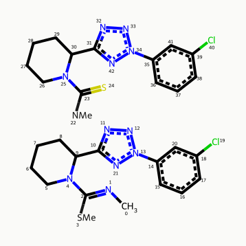 CN=C(SC)N1CCCCC1c1nnn(-c2cccc(Cl)c2)n1.CNC(=S)N1CCCCC1c1nnn(-c2cccc(Cl)c2)n1